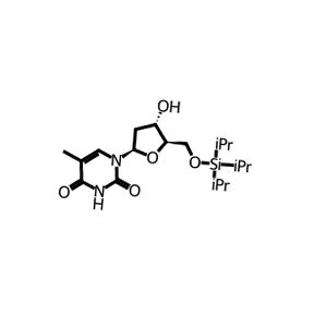 Cc1cn([C@H]2C[C@H](O)[C@@H](CO[Si](C(C)C)(C(C)C)C(C)C)O2)c(=O)[nH]c1=O